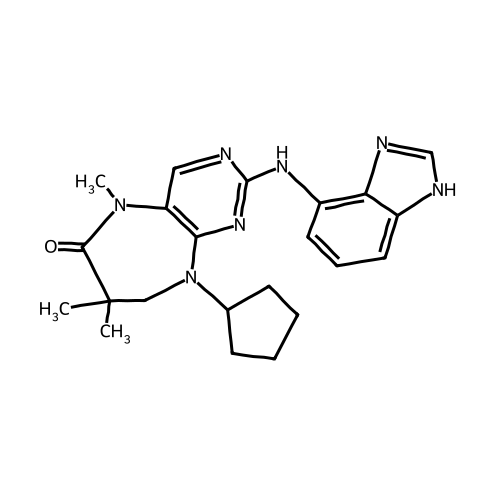 CN1C(=O)C(C)(C)CN(C2CCCC2)c2nc(Nc3cccc4[nH]cnc34)ncc21